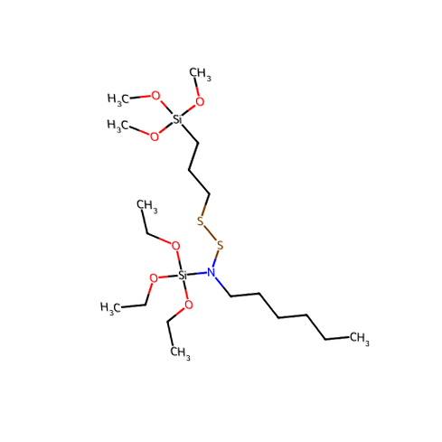 CCCCCCN(SSCCC[Si](OC)(OC)OC)[Si](OCC)(OCC)OCC